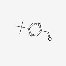 CC(C)(C)c1cnc(C=O)cn1